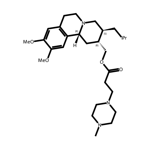 COc1cc2c(cc1OC)[C@H]1C[C@@H](COC(=O)CCN3CCN(C)CC3)[C@H](CC(C)C)CN1CC2